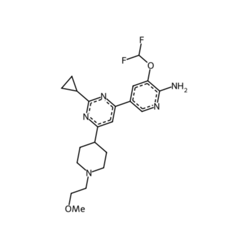 COCCN1CCC(c2cc(-c3cnc(N)c(OC(F)F)c3)nc(C3CC3)n2)CC1